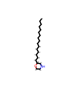 CCCCCCCCCCCCCCCCC1CNCCO1